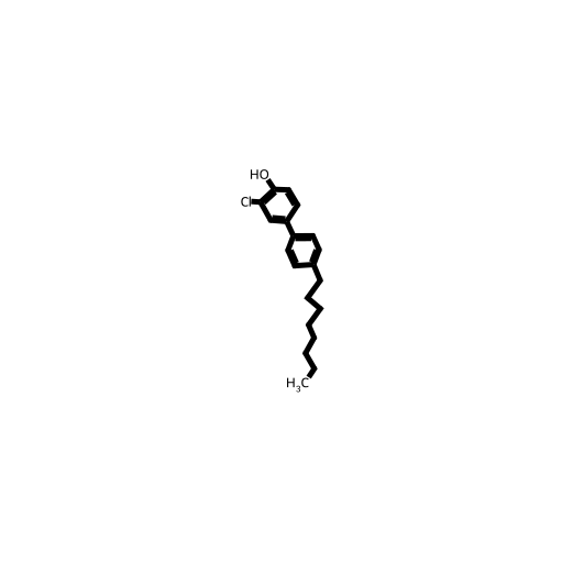 CCCCCCCCc1ccc(-c2ccc(O)c(Cl)c2)cc1